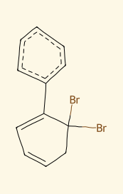 BrC1(Br)CC=CC=C1c1ccccc1